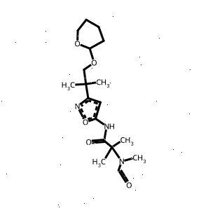 CN(C=O)C(C)(C)C(=O)Nc1cc(C(C)(C)COC2CCCCO2)no1